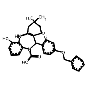 CC1(C)CC(=O)C2=C(C1)Nc1c(O)cccc1N(C(=O)O)C2c1ccc(OCc2ccccc2)cc1Cl